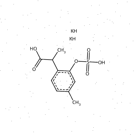 Cc1ccc(C(C)C(=O)O)c(OS(=O)(=O)O)c1.[KH].[KH]